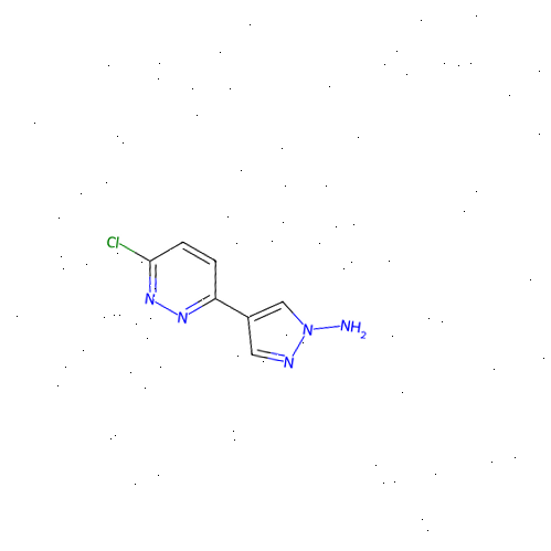 Nn1cc(-c2ccc(Cl)nn2)cn1